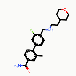 Cc1cc(C(N)=O)ccc1-c1ccc(CNCCC2CCOCC2)c(F)c1